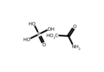 NC(=O)C(=O)O.O=P(O)(O)O